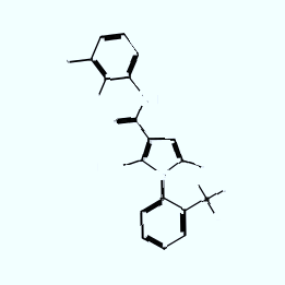 Cc1cc(C(=O)Nc2cccc(Cl)c2F)c(C)n1-c1ccccc1C(F)(F)F